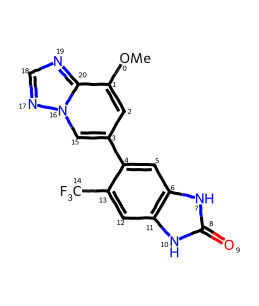 COc1cc(-c2cc3[nH]c(=O)[nH]c3cc2C(F)(F)F)cn2ncnc12